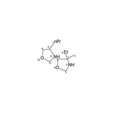 CCC1(C)COCN1.CCCC1COCN1